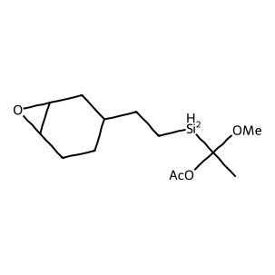 COC(C)(OC(C)=O)[SiH2]CCC1CCC2OC2C1